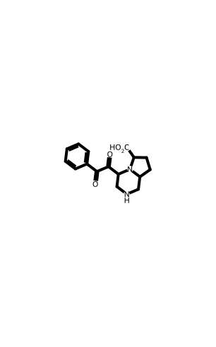 O=C(C(=O)C1CNCC2CCC(C(=O)O)N21)c1ccccc1